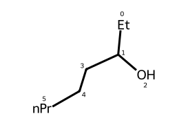 [CH2]CC(O)CCCCC